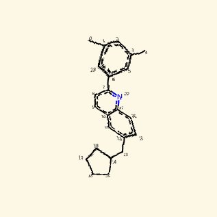 Cc1cc(C)cc(-c2ccc3cc(CC4CCCC4)ccc3n2)c1